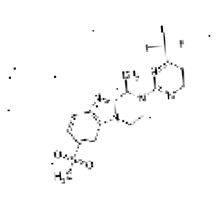 CC1c2nc3ccc(S(C)(=O)=O)cc3n2CCN1c1nccc(C(F)(F)F)n1